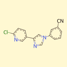 N#Cc1cccc(-n2cnc(-c3ccc(Cl)nc3)c2)c1